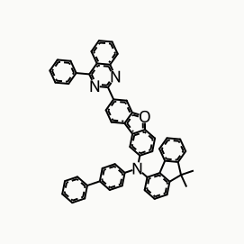 CC1(C)c2ccccc2-c2c(N(c3ccc(-c4ccccc4)cc3)c3ccc4oc5cc(-c6nc(-c7ccccc7)c7ccccc7n6)ccc5c4c3)cccc21